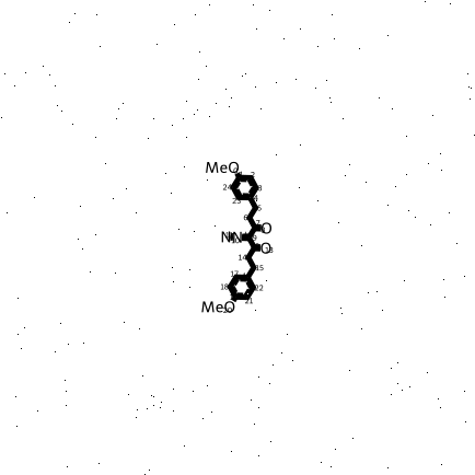 COc1ccc(CCC(=O)C(=[N+]=[N-])C(=O)CCc2ccc(OC)cc2)cc1